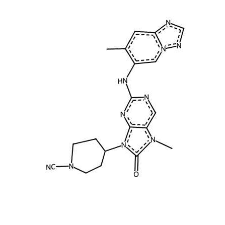 Cc1cc2ncnn2cc1Nc1ncc2c(n1)n(C1CCN(C#N)CC1)c(=O)n2C